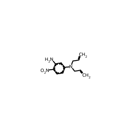 C=CCN(CC=C)c1ccc([N+](=O)[O-])c(N)c1